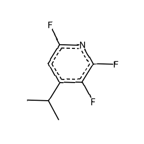 CC(C)c1cc(F)nc(F)c1F